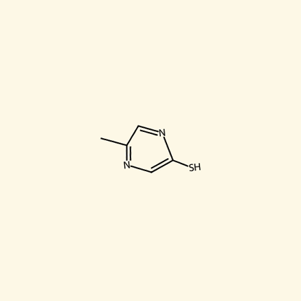 Cc1cnc(S)cn1